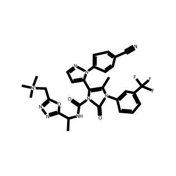 Cc1c(-c2ccnn2-c2ccc(C#N)cc2)n(C(=O)NC(C)c2nnc(C[N+](C)(C)C)o2)c(=O)n1-c1cccc(C(F)(F)F)c1